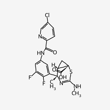 CNC1=N[C@](C)(c2cc(NC(=O)c3ccc(Cl)cn3)cc(F)c2F)[C@@H]2C[C@]2(C(=O)O)S1